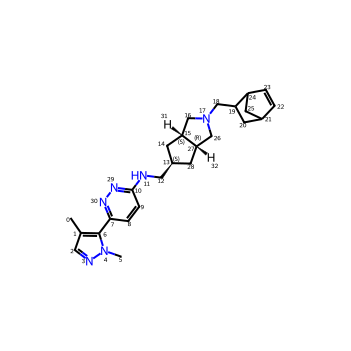 Cc1cnn(C)c1-c1ccc(NC[C@H]2C[C@@H]3CN(CC4CC5C=CC4C5)C[C@@H]3C2)nn1